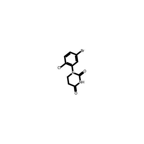 O=C1CCN(c2cc(Br)ccc2Cl)C(=O)N1